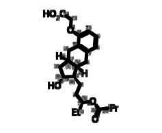 CC[C@@H](CC[C@@H]1[C@H]2Cc3cccc(OCC(=O)O)c3C[C@H]2C[C@H]1O)OC(=O)C(C)C